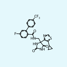 O=C1NC(=O)C(CNC(=O)c2ccc(F)cc2-c2ccc(C(F)(F)F)cc2)(c2ncsc2C2CC2)N1